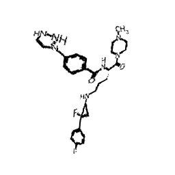 CN1CCN(C(=O)[C@H](CCCN[C@H]2C[C@]2(F)c2ccc(F)cc2)NC(=O)c2ccc(N3C=CNN3)cc2)CC1